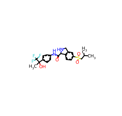 CC(C)CS(=O)(=O)c1ccc2c(c1)CNC2C(=O)Nc1ccc(C(C)(O)C(F)(F)F)cc1